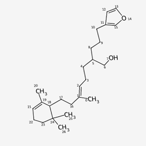 CC(=CCCC(CO)CCCc1ccoc1)CCC1C(C)=CCCC1(C)C